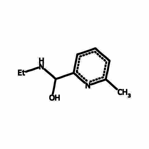 CCNC(O)c1cccc(C)n1